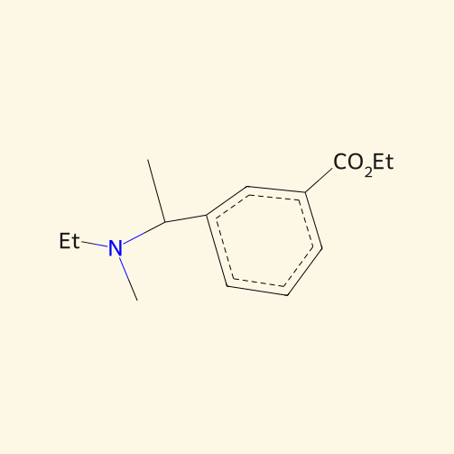 CCOC(=O)c1cccc(C(C)N(C)CC)c1